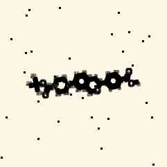 COC(=O)c1ccc(C2Cc3ccc(N4CCN(C(=O)OC(C)(C)C)CC4)cc3CO2)cc1